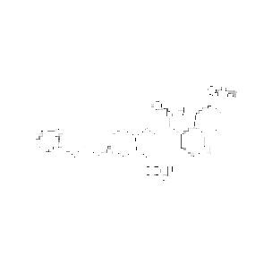 COc1ccc2nccc([C@H](CC[C@@H]3CCN(CCSc4cccs4)C[C@@H]3CC(=O)O)NO)c2c1